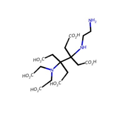 NCCNC(CC(=O)O)(CC(=O)O)C(CC(=O)O)(CC(=O)O)N(CC(=O)O)CC(=O)O